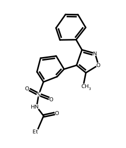 CCC(=O)NS(=O)(=O)c1cccc(-c2c(-c3ccccc3)noc2C)c1